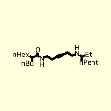 CCCCCCC(CCCC)C(=O)NCCC#CCCNC(CC)CCCCC